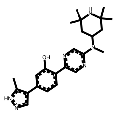 Cc1[nH]ncc1-c1ccc(-c2cnc(N(C)C3CC(C)(C)NC(C)(C)C3)cn2)c(O)c1